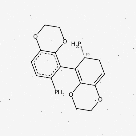 Pc1ccc2c(c1C1=C3OCCOC3=CC[C@H]1P)OCCO2